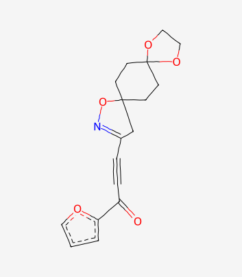 O=C(C#CC1=NOC2(CCC3(CC2)OCCO3)C1)c1ccco1